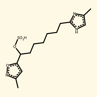 Cc1cc(C(CCCCCCc2nc(C)c[nH]2)OS(=O)(=O)O)on1